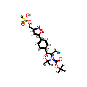 CC(C)(C)OC(=O)N1C(CF)C(c2ccc(-c3cc(COS(C)(=O)=O)no3)cc2)OC1(C)C